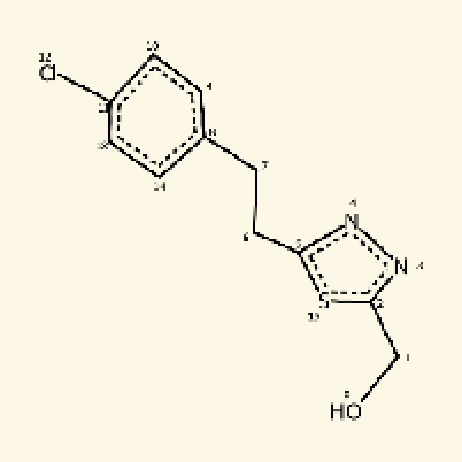 OCc1nnc(CCc2ccc(Cl)cc2)s1